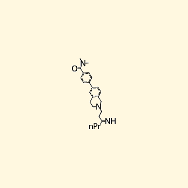 CCCC(=N)CCN1CCc2cc(-c3ccc(C(=O)N(C)C)cc3)ccc2C1